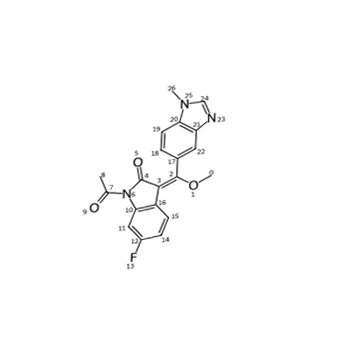 CO/C(=C1/C(=O)N(C(C)=O)c2cc(F)ccc21)c1ccc2c(c1)ncn2C